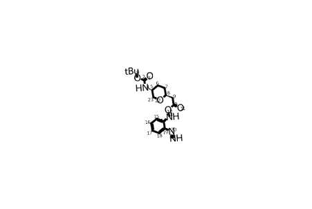 CC(C)(C)OC(=O)N[C@@H]1CC[C@@H](CC(=O)ONc2ccccc2N=N)OC1